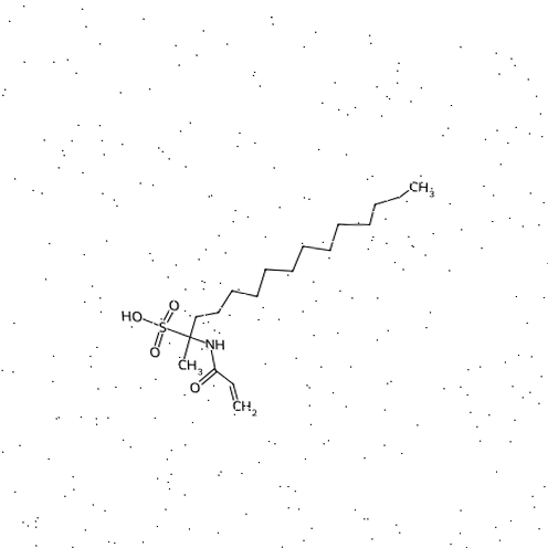 C=CC(=O)NC(C)(CCCCCCCCCCCCC)S(=O)(=O)O